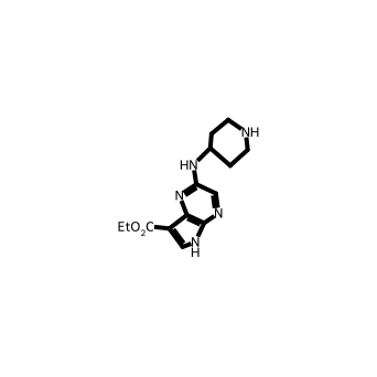 CCOC(=O)c1c[nH]c2ncc(NC3CCNCC3)nc12